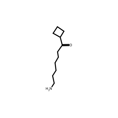 NCCCCCCC(=O)C1CCC1